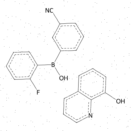 N#Cc1cccc(B(O)c2ccccc2F)c1.Oc1cccc2cccnc12